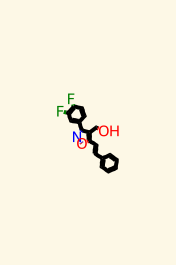 OCc1c(-c2ccc(F)c(F)c2)noc1C=Cc1ccccc1